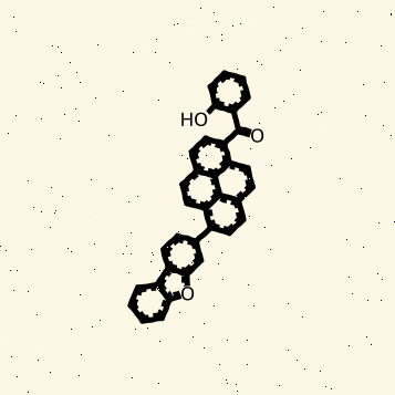 O=C(c1ccccc1O)c1ccc2ccc3c(-c4ccc5c(c4)oc4ccccc45)ccc4ccc1c2c43